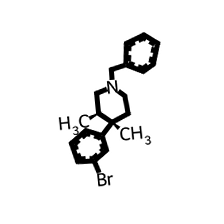 C[C@H]1CN(Cc2ccccc2)CC[C@]1(C)c1cccc(Br)c1